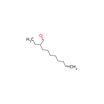 C=CCCCCCCC(C=O)CC